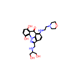 O=c1c2c(O)ccc(O)c2n2nc(CNC(CO)CO)c3ccc(NCCN4CCOCC4)c1c32